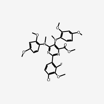 COC(=O)c1nc(-c2ccc(Cl)c(OC)c2F)nc(N(C)c2ccc(OC)cc2OC)c1N(C)c1ccc(OC)cc1OC